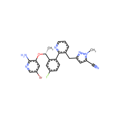 C[C@@H](Oc1cc(Br)cnc1N)c1cc(F)ccc1-c1ncccc1Cc1cc(C#N)n(C)n1